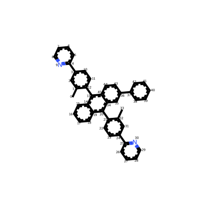 Cc1cc(-c2ccccn2)ccc1-c1c2ccccc2c(-c2ccc(-c3ccccn3)cc2C)c2cc(-c3ccccc3)ccc12